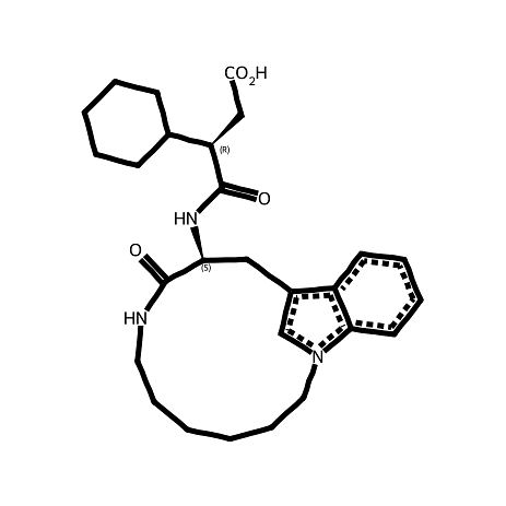 O=C(O)C[C@@H](C(=O)N[C@H]1Cc2cn(c3ccccc23)CCCCCCNC1=O)C1CCCCC1